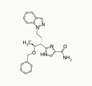 C[C@H](OCc1ccccc1)[C@H](CCn1ncc2ccccc21)c1nc(C(N)=O)c[nH]1